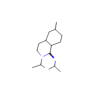 CC1CCC2/C(=N/C(C)C)N(C(C)C)CCC2C1